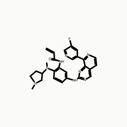 C=CC(=O)Nc1cc(Nc2ncc3ccnc(-c4cncc(F)c4)c3n2)ccc1N(C)C1CCN(C)C1